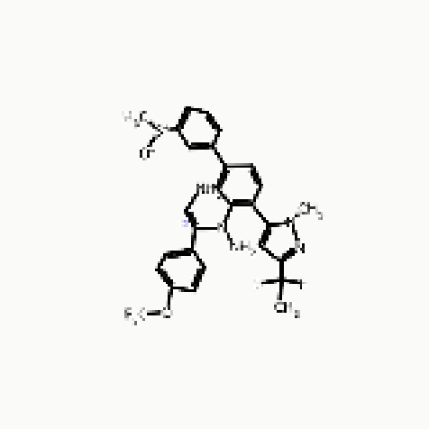 Cn1nc(C(C)(F)F)cc1-c1ccc(-c2cccc([S+](C)[O-])c2)cc1N(N)/C(=C\N)c1ccc(OC(F)(F)F)cc1